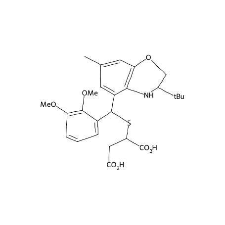 COc1cccc(C(SC(CC(=O)O)C(=O)O)c2cc(C)cc3c2NC(C(C)(C)C)CO3)c1OC